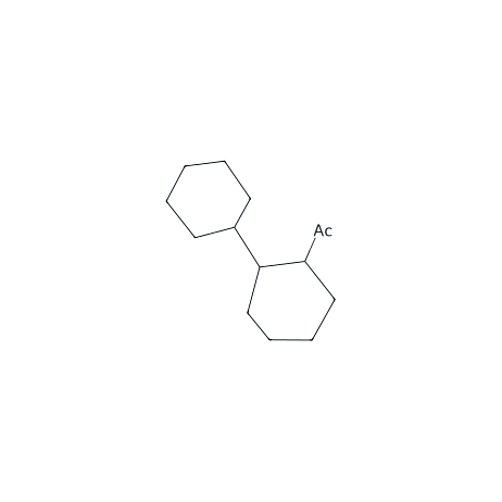 CC(=O)C1CCCCC1C1CCCCC1